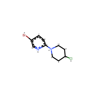 ClC1CCN(c2ccc(Br)cn2)CC1